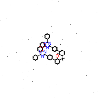 CC12Oc3c(-c4ccc(-c5nc(-c6ccccc6)nc(-c6ccccc6)n5)cc4)cccc3C(C)(C)C1C=CC=C2c1ccc(-c2nc(-c3ccccc3)nc(-c3ccccc3)n2)cc1